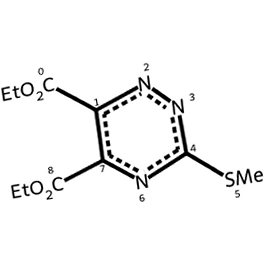 CCOC(=O)c1nnc(SC)nc1C(=O)OCC